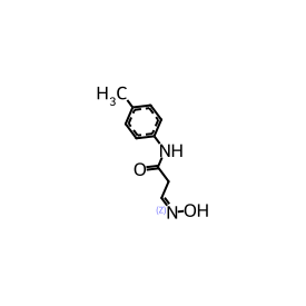 Cc1ccc(NC(=O)C/C=N\O)cc1